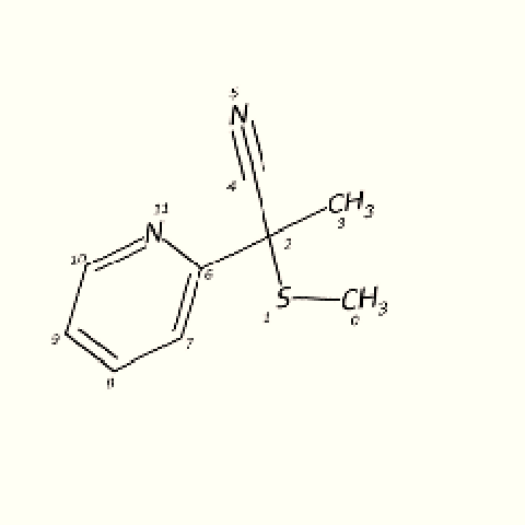 CSC(C)(C#N)c1ccccn1